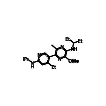 CCc1cc(NC(C)C)ncc1-c1nc(OC)c(NC(CC)CC)nc1C